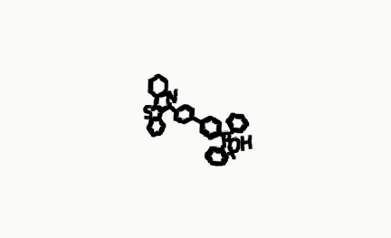 O[PH](c1ccccc1)(c1ccccc1)c1ccc(-c2ccc(-c3nc4c(c5sc6ccccc6c35)C=CCC4)cc2)cc1